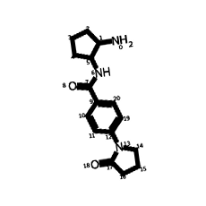 NC1CCCC1NC(=O)c1ccc(N2CCCC2=O)cc1